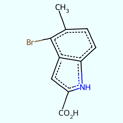 Cc1ccc2[nH]c(C(=O)O)cc2c1Br